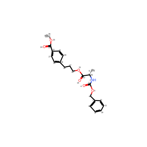 CC(C)[C@H](NC(=O)OCc1ccccc1)C(=O)OCCCc1ccc(C(=O)OC(C)(C)C)cc1